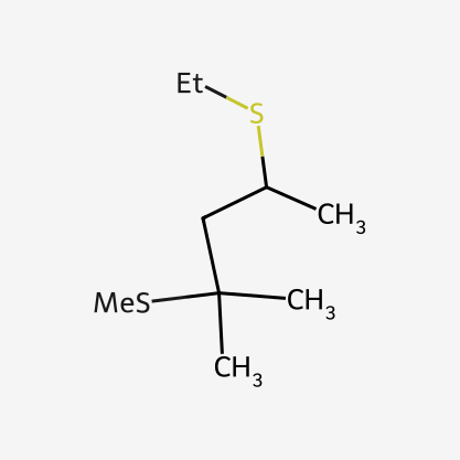 CCSC(C)CC(C)(C)SC